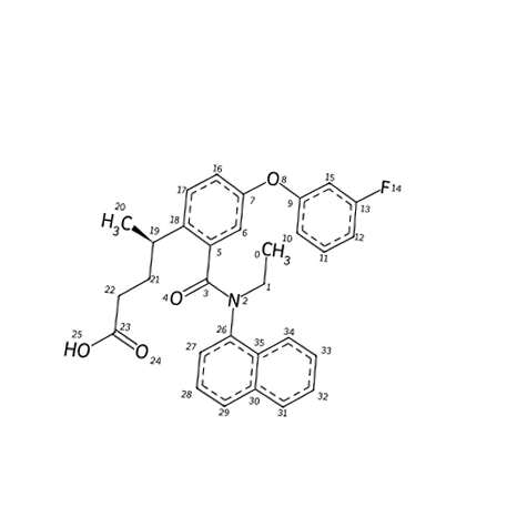 CCN(C(=O)c1cc(Oc2cccc(F)c2)ccc1[C@H](C)CCC(=O)O)c1cccc2ccccc12